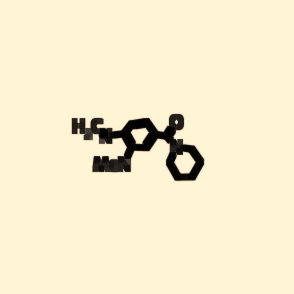 C=Nc1ccc(C(=O)N2CCCCC2)cc1NC